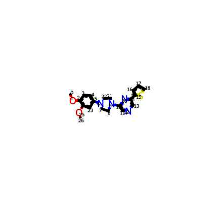 COc1ccc(N2CCN(c3cncc(-c4cccs4)n3)CC2)cc1OC